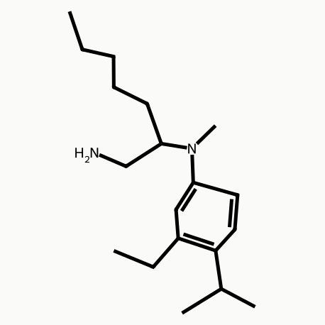 CCCCCC(CN)N(C)c1ccc(C(C)C)c(CC)c1